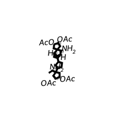 CC(=O)OC1CC2(C[C@@H]1OC(C)=O)[C@@H]1CC(C3CCC(C4(C(C)N)CC(OC(C)=O)[C@H](OC(C)=O)C4)C3)[C@@H](C1)[C@@H]2N